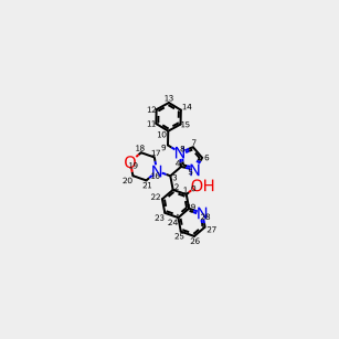 Oc1c(C(c2nccn2Cc2ccccc2)N2CCOCC2)ccc2cccnc12